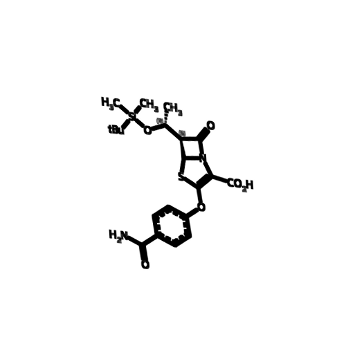 C[C@@H](O[Si](C)(C)C(C)(C)C)[C@H]1C(=O)N2C(C(=O)O)=C(Oc3ccc(C(N)=O)cc3)SC12